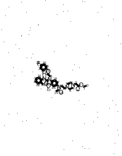 CCOC(=O)CN1CCN(CCN(C(C)=O)c2ccc(N(CCOc3ccc(F)cc3)C(=O)Nc3ccccc3C)c(OC)c2)CC1